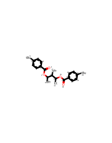 CCCC(OC(=O)c1ccc(C(C)(C)C)cc1)C(CCC)C(CC)OC(=O)c1ccc(C(C)(C)C)cc1